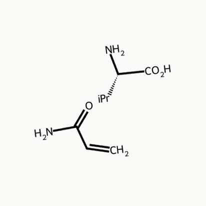 C=CC(N)=O.CC(C)[C@H](N)C(=O)O